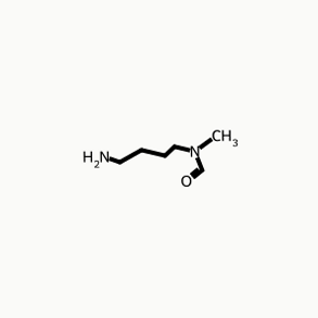 CN(C=O)CCCCN